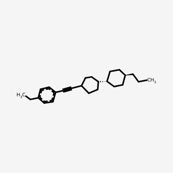 CCC[C@H]1CC[C@H](C2CCC(C#Cc3ccc(CC)cc3)CC2)CC1